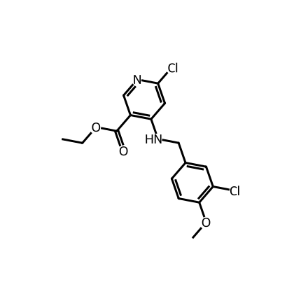 CCOC(=O)c1cnc(Cl)cc1NCc1ccc(OC)c(Cl)c1